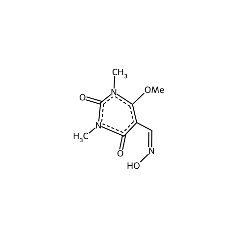 COc1c(/C=N\O)c(=O)n(C)c(=O)n1C